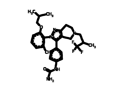 Cc1cccc(OCC(C)C)c1-n1nc2c(c1-c1ccc(NC(N)=O)cc1)CN(CC(C)C(F)(F)F)CC2